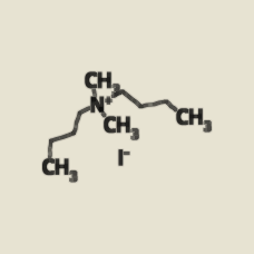 CCCC[N+](C)(C)CCCC.[I-]